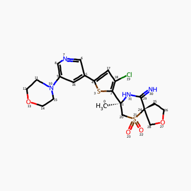 C[C@@]1(c2sc(-c3cncc(N4CCOCC4)c3)cc2Cl)CS(=O)(=O)[C@]2(CCOC2)C(=N)N1